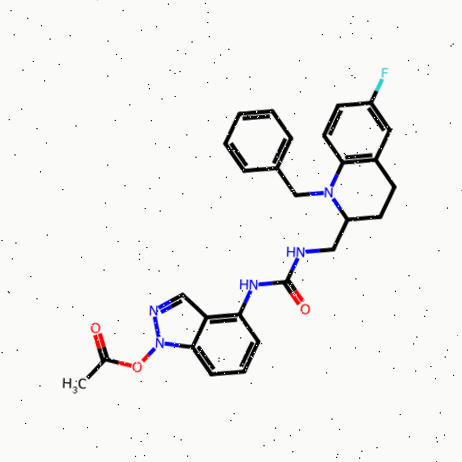 CC(=O)On1ncc2c(NC(=O)NCC3CCc4cc(F)ccc4N3Cc3ccccc3)cccc21